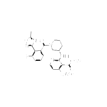 COC(=O)c1c(OC)ccnc1N[C@@H]1CC[C@@H](C)N(C(=O)c2cccc(F)c2-c2noc(C)n2)C1